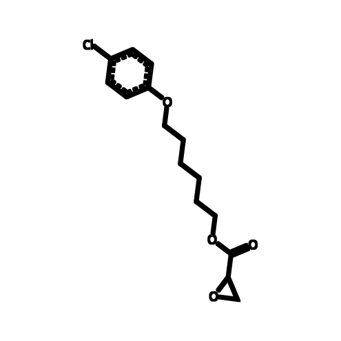 O=C(OCCCCCCOc1ccc(Cl)cc1)C1CO1